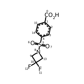 O=C(O)c1ccc(S(=O)(=O)N2CC(F)(F)C2)cc1